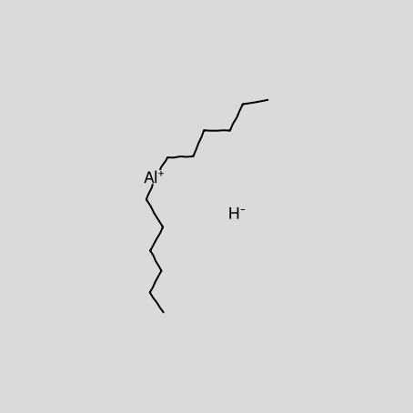 CCCCC[CH2][Al+][CH2]CCCCC.[H-]